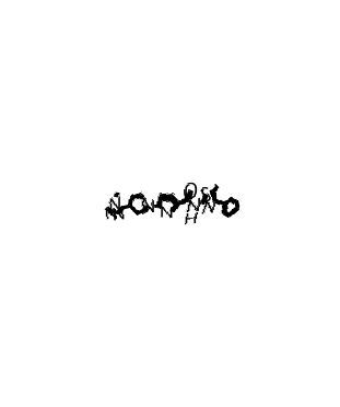 Cc1sc(NC(=O)c2ccc(N3CCC(c4nncn4C)CC3)nc2)nc1-c1ccccc1